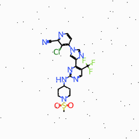 CS(=O)(=O)N1CCC(Nc2ncc(C(F)(F)F)c(-c3cn(-c4ccnc(C#N)c4Cl)cn3)n2)CC1